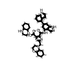 C1CCC2OCCNC2C1.O=C(Nc1cc(-c2cccc3[nH]ccc23)cc2[nH]ncc12)c1nc(CN2CCOC3CCCCC32)sc1C(=O)O